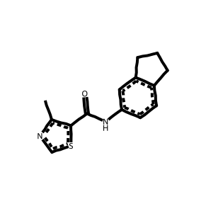 Cc1ncsc1C(=O)Nc1ccc2c(c1)CCC2